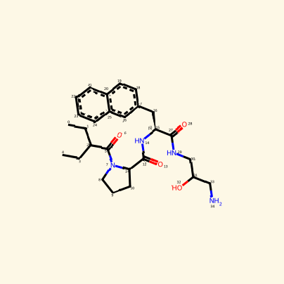 CCC(CC)C(=O)N1CCCC1C(=O)N[C@@H](Cc1ccc2ccccc2c1)C(=O)NCC(O)CN